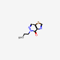 COCCn1ncc2s[c]nc2c1=O